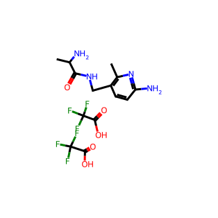 Cc1nc(N)ccc1CNC(=O)C(C)N.O=C(O)C(F)(F)F.O=C(O)C(F)(F)F